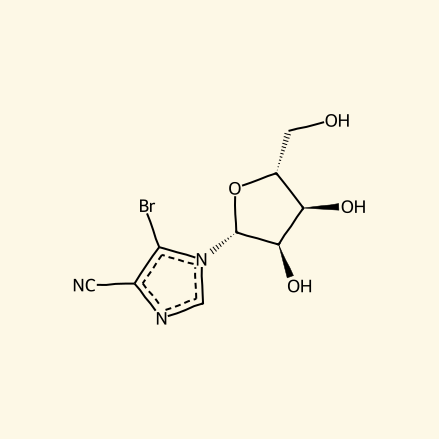 N#Cc1ncn([C@@H]2O[C@H](CO)[C@@H](O)[C@H]2O)c1Br